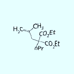 C=C(C)CC(CCC)(C(=O)OCC)C(=O)OCC